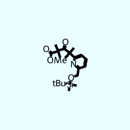 COC(=O)C(C)(C)C(=O)C(C)(C)c1cccc(CO[Si](C)(C)C(C)(C)C)n1